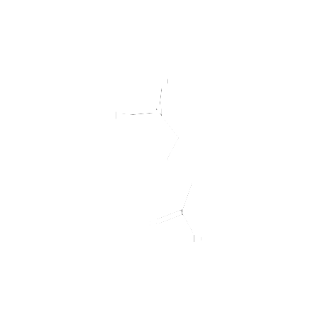 CCC(=O)CCCN(CC)CC